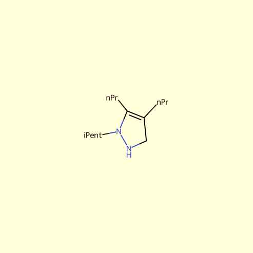 CCCC1=C(CCC)N(C(C)CCC)NC1